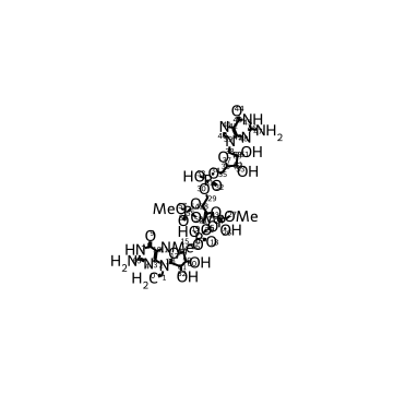 C=CN(c1nc(N)[nH]c(=O)c1NC)[C@@H]1O[C@H](COP(=O)(O)OCC(OP(=O)(O)OC)C(COP(=O)(O)OCC2OC(n3cnc4c(=O)[nH]c(N)nc43)[C@H](O)[C@@H]2O)OP(=O)(OC)OC)C(O)C1O